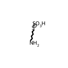 NCCCCCCSOS(=O)(=O)O